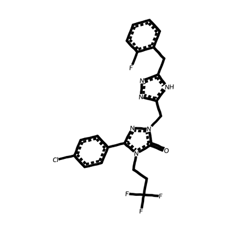 O=c1n(Cc2nnc(Cc3ccccc3F)[nH]2)nc(-c2ccc(Cl)cc2)n1CCC(F)(F)F